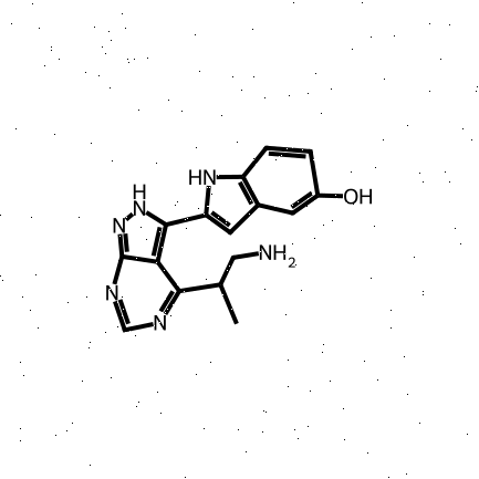 CC(CN)c1ncnc2n[nH]c(-c3cc4cc(O)ccc4[nH]3)c12